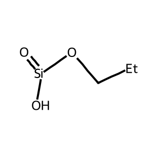 CCCO[Si](=O)O